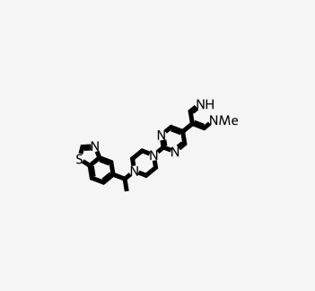 CN/C=C(\C=N)c1cnc(N2CCN(C(C)c3ccc4scnc4c3)CC2)nc1